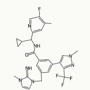 Cc1cc(C(NC(=O)c2cc(Cn3ccn(C)c3=N)cc(-c3cn(C)nc3C(F)(F)F)c2)C2CC2)ncc1F